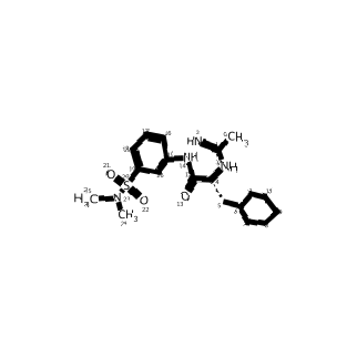 CC(=N)N[C@H](CC1CCCCC1)C(=O)Nc1cccc(S(=O)(=O)N(C)C)c1